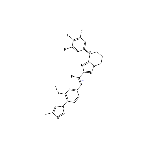 COc1cc(/C=C(\F)c2nc3n(n2)CCC[C@@H]3c2cc(F)c(F)c(F)c2)ccc1-n1cnc(C)c1